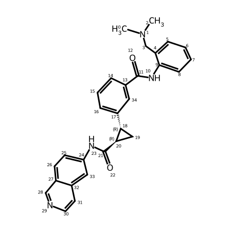 CN(C)Cc1ccccc1NC(=O)c1cccc([C@@H]2C[C@H]2C(=O)Nc2ccc3cnccc3c2)c1